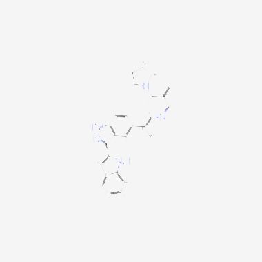 C=C(/C=N\C=C(/C)c1ccc2[nH]nc(-c3cc4ccccc4[nH]3)c2c1)CN1CCCC1